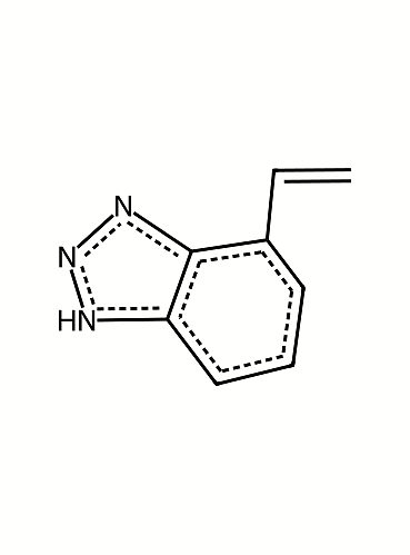 C=Cc1cccc2[nH]nnc12